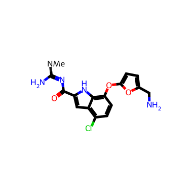 CNC(N)=NC(=O)c1cc2c(Cl)ccc(Oc3ccc(CN)o3)c2[nH]1